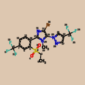 CCS(=O)(=O)c1cc(C(F)(F)F)ccc1-c1nc(Br)c(-n2cc(C(F)(F)F)cn2)n1C